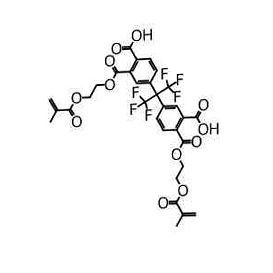 C=C(C)C(=O)OCCOC(=O)c1ccc(C(c2ccc(C(=O)O)c(C(=O)OCCOC(=O)C(=C)C)c2)(C(F)(F)F)C(F)(F)F)cc1C(=O)O